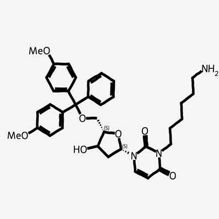 COc1ccc(C(OC[C@@H]2O[C@H](n3ccc(=O)n(CCCCCCN)c3=O)CC2O)(c2ccccc2)c2ccc(OC)cc2)cc1